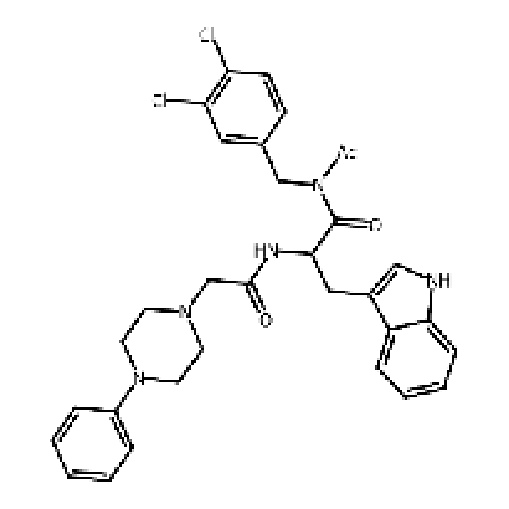 CC(=O)N(Cc1ccc(Cl)c(Cl)c1)C(=O)C(Cc1c[nH]c2ccccc12)NC(=O)CN1CCN(c2ccccc2)CC1